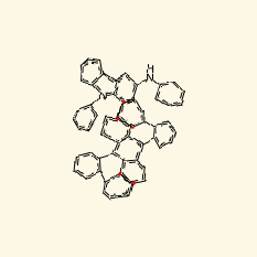 c1ccc(Nc2cc(-c3ccc4c(-c5ccccc5-c5ccccc5)c5ccccc5c(-c5ccccc5-c5ccccc5)c4c3)c3c(c2)c2ccccc2n3-c2ccccc2)cc1